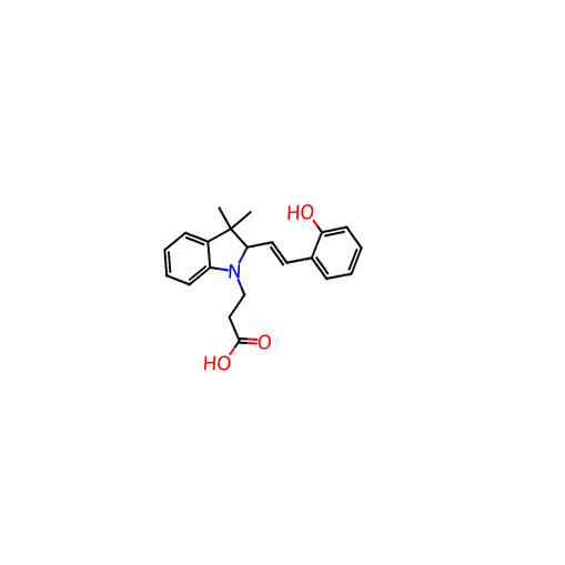 CC1(C)c2ccccc2N(CCC(=O)O)C1/C=C/c1ccccc1O